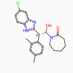 Cc1ccc([C@H](c2nc3cc(Cl)ccc3[nH]2)C(O)N2CCCCCC2=O)c(C)c1